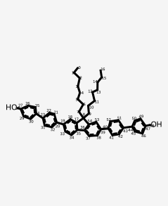 CCCCCCCCC1(CCCCCCCC)c2cc(-c3ccc(-c4ccc(O)cc4)cc3)ccc2-c2ccc(-c3ccc(-c4ccc(O)cc4)cc3)cc21